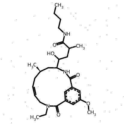 CCCCNC(=O)C(C)CC(O)C1C[C@H](C)CC=CCN(CC)C(=O)c2cc(OC)cc(c2)C(=O)N1